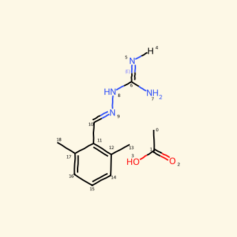 CC(=O)O.[H]/N=C(\N)NN=Cc1c(C)cccc1C